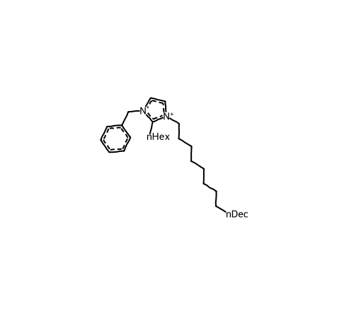 CCCCCCCCCCCCCCCCCC[n+]1ccn(Cc2ccccc2)c1CCCCCC